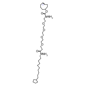 NN(CCCCCCCCCCC1CCCC1)C(=O)CCOCCOCCOCCOCCN(N)C(=O)OC1CC/C=C/CCC1